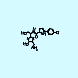 NCc1sc(C(CO)NC(=O)c2ccc(-c3ccc(Cl)cc3)[nH]2)nc1O